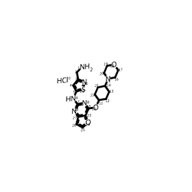 Cl.NCc1cc(Nc2nc(OC3CCC(N4CCOCC4)CC3)c3occc3n2)sn1